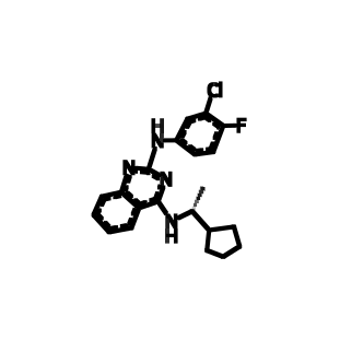 C[C@@H](Nc1nc(Nc2ccc(F)c(Cl)c2)nc2ccccc12)C1CCCC1